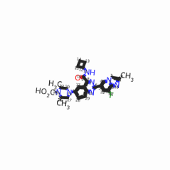 Cc1cn2cc(-c3nc(C(=O)NC4CCC4)c4cc(N5C[C@@H](C)N(C(=O)O)[C@@H](C)C5)ccc4n3)cc(F)c2n1